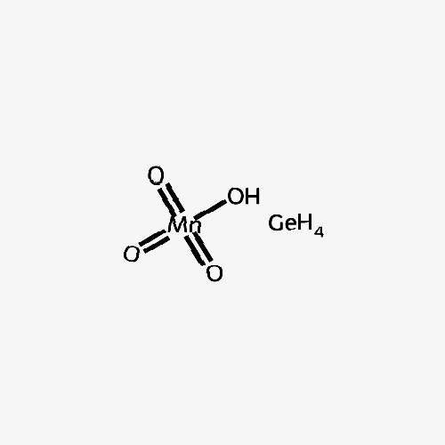 [GeH4].[O]=[Mn](=[O])(=[O])[OH]